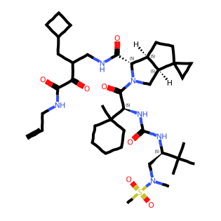 C=CCNC(=O)C(=O)C(CNC(=O)[C@@H]1[C@H]2CCC3(CC3)[C@H]2CN1C(=O)[C@@H](NC(=O)N[C@H](CN(C)S(C)(=O)=O)C(C)(C)C)C1(C)CCCCC1)CC1CCC1